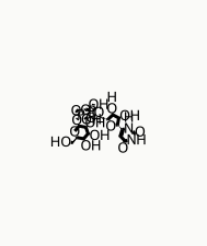 O=c1cc([C@@H]2O[C@H](COP(=O)(O)OP(=O)(O)O[C@H]3O[C@H](CO)[C@H](O)[C@H](O)[C@H]3O)[C@@H](O)[C@H]2O)[nH]c(=O)[nH]1